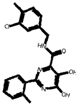 Cc1ccc(CNC(=O)c2nc(-c3ccccc3C)nc(O)c2O)cc1Cl